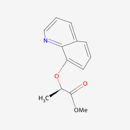 COC(=O)[C@@H](C)Oc1cccc2cccnc12